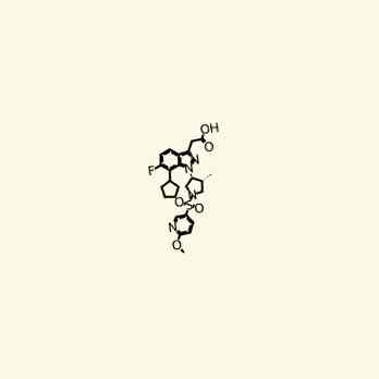 COc1ccc(S(=O)(=O)N2C[C@@H](C)[C@@H](n3nc(CC(=O)O)c4ccc(F)c(C5CCCC5)c43)C2)cn1